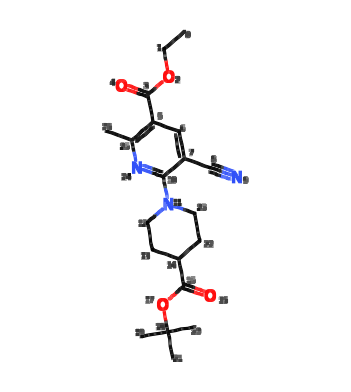 CCOC(=O)c1cc(C#N)c(N2CCC(C(=O)OC(C)(C)C)CC2)nc1C